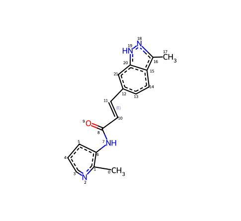 Cc1ncccc1NC(=O)/C=C/c1ccc2c(C)n[nH]c2c1